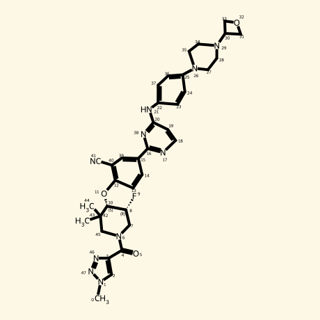 Cn1cc(C(=O)N2C[C@@H](F)[C@@H](Oc3ccc(-c4nccc(Nc5ccc(N6CCN(C7COC7)CC6)cc5)n4)cc3C#N)C(C)(C)C2)nn1